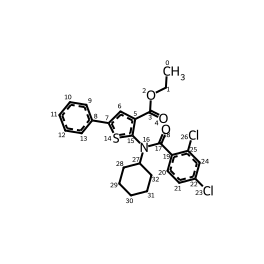 CCOC(=O)c1cc(-c2ccccc2)sc1N(C(=O)c1ccc(Cl)cc1Cl)C1CCCCC1